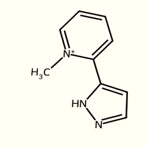 C[n+]1ccccc1-c1ccn[nH]1